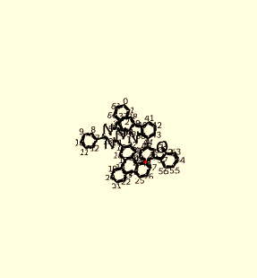 c1ccc(-c2nc(-c3ccccc3)nc(-c3cc4c5ccccc5c5ccccc5c4cc3-n3c4ccccc4c4cccc(-c5cccc6c5oc5ccccc56)c43)n2)cc1